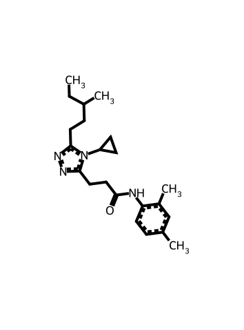 CCC(C)CCc1nnc(CCC(=O)Nc2ccc(C)cc2C)n1C1CC1